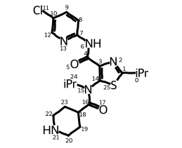 CC(C)c1nc(C(=O)Nc2ccc(Cl)cn2)c(N(C(=O)C2CCNCC2)C(C)C)s1